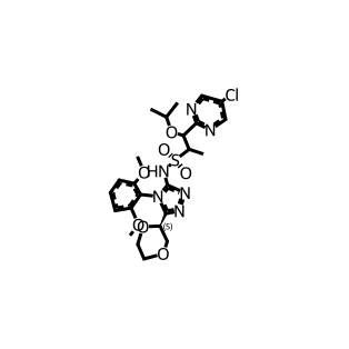 COc1cccc(OC)c1-n1c(NS(=O)(=O)C(C)C(OC(C)C)c2ncc(Cl)cn2)nnc1[C@H]1COCCO1